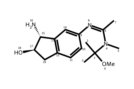 COC(C)(C)N(C)C(C)=Nc1ccc2c(c1)[C@@H](N)[C@H](O)C2